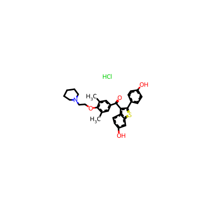 Cc1cc(C(=O)c2c(-c3ccc(O)cc3)sc3cc(O)ccc23)cc(C)c1OCCN1CCCCC1.Cl